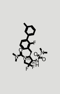 Cc1cccc(-c2cccc(C[C@H]3[C@@H](NS(=O)(=O)N(C)C)C(F)(F)CN3C(=O)N(C)C)c2F)c1